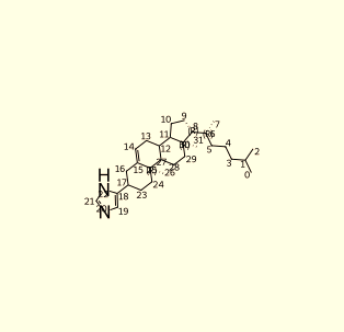 CC(C)CCC[C@@H](C)[C@H]1CCC2C3CC=C4CC(c5cnc[nH]5)CC[C@]4(C)C3CC[C@@]21C